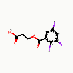 O=C(O)CCOC(=O)c1cc(I)cc(I)c1I